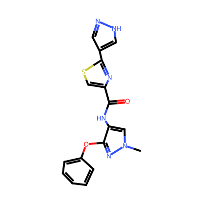 Cn1cc(NC(=O)c2csc(-c3cn[nH]c3)n2)c(Oc2ccccc2)n1